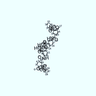 COc1ccc(C(=O)Nc2ccc(CCc3ccc(NC(=O)c4ccc(OC)c(S(=O)(=O)N5CCCC5)c4)cc3S(=O)(=O)O)c(S(=O)(=O)O)c2)cc1S(=O)(=O)N1CCCC1